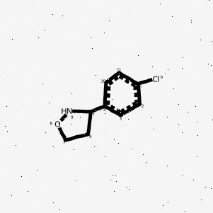 Clc1ccc(C2CCON2)cc1